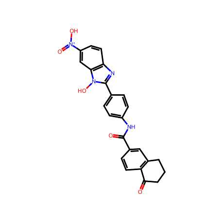 O=C(Nc1ccc(-c2nc3ccc([N+](=O)O)cc3n2O)cc1)c1ccc2c(c1)CCCC2=O